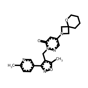 Cc1ccc(-c2noc(C)c2Cn2ncc(N3CC4(CCCCO4)C3)cc2=O)cn1